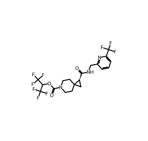 O=C(NCc1cccc(C(F)(F)F)n1)[C@H]1CC12CCN(C(=O)OC(C(F)(F)F)C(F)(F)F)CC2